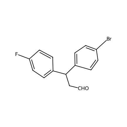 O=CCC(c1ccc(F)cc1)c1ccc(Br)cc1